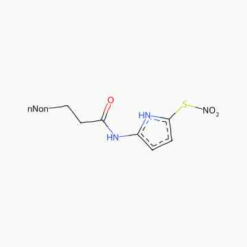 CCCCCCCCCCCC(=O)Nc1ccc(S[N+](=O)[O-])[nH]1